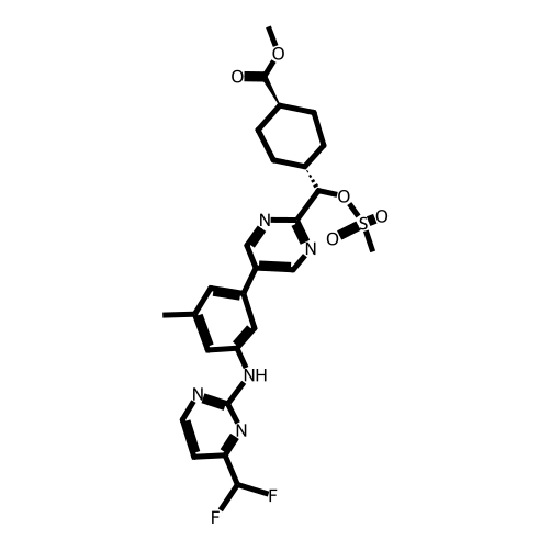 COC(=O)[C@H]1CC[C@H](C(OS(C)(=O)=O)c2ncc(-c3cc(C)cc(Nc4nccc(C(F)F)n4)c3)cn2)CC1